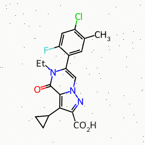 CCn1c(-c2cc(C)c(Cl)cc2F)cn2nc(C(=O)O)c(C3CC3)c2c1=O